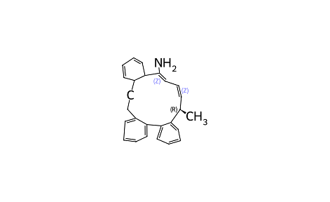 C[C@@H]1/C=C\C=C(/N)C2C=CC=CC2CCc2ccccc2-c2ccccc21